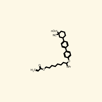 C=CC(=O)OCCCCCCCC(CCC)Oc1ccc(-c2ccc(C3CCCC(C#N)(CCCCCCCC)C3)cc2)cc1